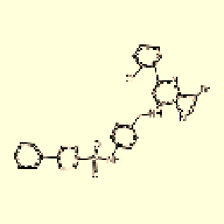 O=S(=O)(Nc1ccc(CNc2cc(-c3ccccc3Cl)nc3c(Br)cnn23)cc1)c1ccc(-c2ccccc2)cc1